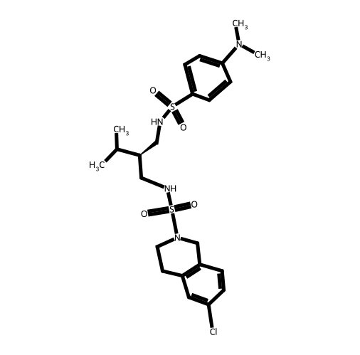 CC(C)[C@@H](CNS(=O)(=O)c1ccc(N(C)C)cc1)CNS(=O)(=O)N1CCc2cc(Cl)ccc2C1